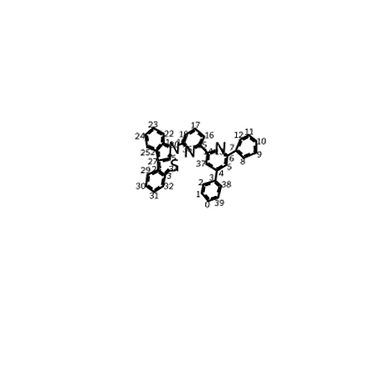 c1ccc(-c2cc(-c3ccccc3)nc(-c3cccc(-n4c5ccccc5c5c6ccccc6sc54)n3)c2)cc1